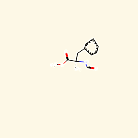 COC(=O)[C@@](C)(Cc1ccccc1)NC=O